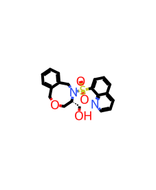 O=S(=O)(c1cccc2cccnc12)N1Cc2ccccc2COC[C@H]1CO